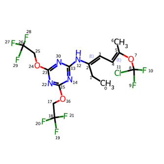 CC/C(=C\C=C(/C)OC(F)(F)Cl)Nc1nc(OCC(F)(F)F)nc(OCC(F)(F)F)n1